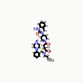 CN1CCN(c2ccccc2[C@@H]2S[C@](C)(CC(=O)N3CCC(N4Cc5ccccc5NC4=O)CC3)C(=O)N2CCC(C)(C)C)CC1